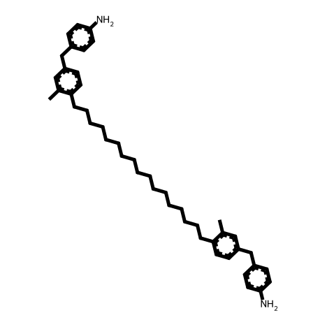 Cc1cc(Cc2ccc(N)cc2)ccc1CCCCCCCCCCCCCCCCCc1ccc(Cc2ccc(N)cc2)cc1C